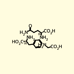 NC(=O)CC[C@H](N)C(=O)O.NCC(=O)O.N[C@@H](Cc1ccccc1)C(=O)O